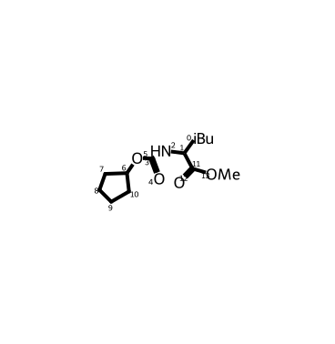 CCC(C)C(NC(=O)OC1CCCC1)C(=O)OC